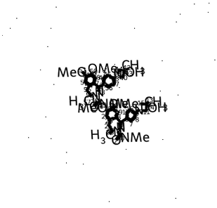 CNC(=O)N1N=C(c2ccc(N3CC(C)(O)C3)cc2)c2cc(OC)c(OC)cc2CC1C.CNC(=O)N1N=C(c2ccc(N3CC(C)(O)C3)cc2)c2cc(OC)c(OC)cc2C[C@H]1C